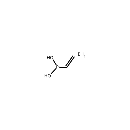 B.C=CP(O)O